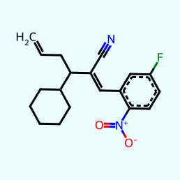 C=CCC(C(C#N)=Cc1cc(F)ccc1[N+](=O)[O-])C1CCCCC1